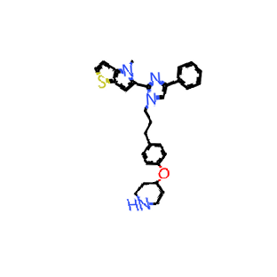 Cn1c(-c2nc(-c3ccccc3)cn2CCCc2ccc(OC3CCNCC3)cc2)cc2sccc21